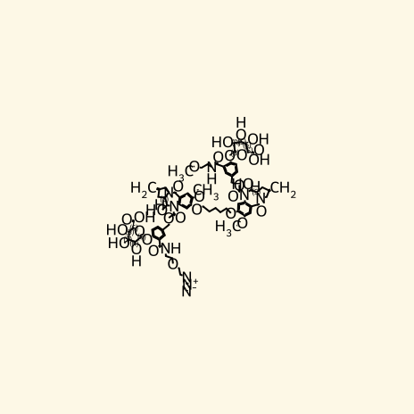 C=C1C[C@H]2C(O)N(C(=O)OCc3ccc(O[C@@H]4O[C@H](C(=O)O)[C@@H](O)[C@H](O)[C@H]4O)c(C(=O)NCCOC)c3)c3cc(OCCCCCOc4cc5c(cc4OC)C(=O)N4CC(=C)C[C@H]4C(O)N5C(=O)OCc4ccc(O[C@@H]5O[C@H](C(=O)O)[C@@H](O)[C@H](O)[C@H]5O)c(C(=O)NCCOCCN=[N+]=[N-])c4)c(OC)cc3C(=O)N2C1